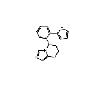 c1coc(-c2ccccc2C2CCCc3cncn32)c1